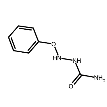 NC(=O)NNOc1ccccc1